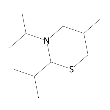 CC1CSC(C(C)C)N(C(C)C)C1